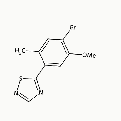 COc1cc(-c2ncns2)c(C)cc1Br